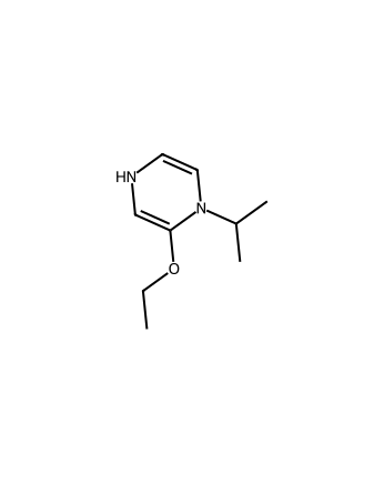 CCOC1=CNC=CN1C(C)C